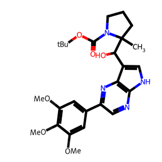 COc1cc(-c2cnc3[nH]cc(C(O)C4(C)CCCN4C(=O)OC(C)(C)C)c3n2)cc(OC)c1OC